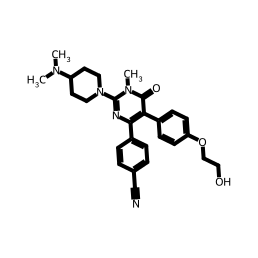 CN(C)C1CCN(c2nc(-c3ccc(C#N)cc3)c(-c3ccc(OCCO)cc3)c(=O)n2C)CC1